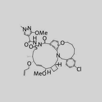 C=CCO[C@H]1/C=C/[C@H](OC)[C@@H]2CC[C@H]2CN2Cc3ccc(Cl)cc3CCCCOc3ccc(cc32)C(=O)N=[S@](=O)(NC(=O)c2cn(C)nc2OC)C[C@H]1C